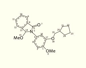 COc1ccc(N2C(=O)c3ccccc3C2OC)cc1OCC1CCCC1